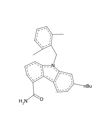 CCCCc1c[c]c2c3c(C(N)=O)cccc3n(Cc3c(C)cccc3C)c2c1